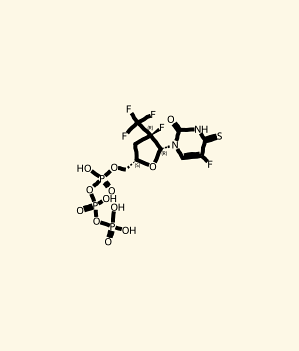 O=c1[nH]c(=S)c(F)cn1[C@@H]1O[C@H](COP(=O)(O)OP(=O)(O)OP(=O)(O)O)C[C@]1(F)C(F)(F)F